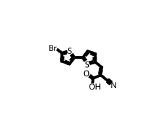 N#CC(=Cc1ccc(-c2ccc(Br)s2)s1)C(=O)O